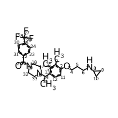 Cc1c(OCCCNC2CC2)ccc(C(C)N2CCN(C(=O)c3ccc(C(F)(F)F)cc3)CC2)c1C